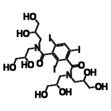 O=C(c1c(I)cc(I)c(C(=O)N(CC(O)CO)CC(O)CO)c1I)N(CC(O)CO)CC(O)CO